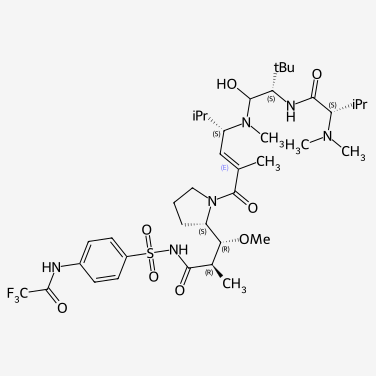 CO[C@H]([C@@H](C)C(=O)NS(=O)(=O)c1ccc(NC(=O)C(F)(F)F)cc1)[C@@H]1CCCN1C(=O)/C(C)=C/[C@H](C(C)C)N(C)C(O)[C@@H](NC(=O)[C@H](C(C)C)N(C)C)C(C)(C)C